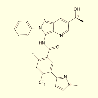 C[C@H](O)c1cnc2c(NC(=O)c3cc(-c4ccn(C)n4)c(C(F)(F)F)cc3F)n(-c3ccccc3)nc2c1